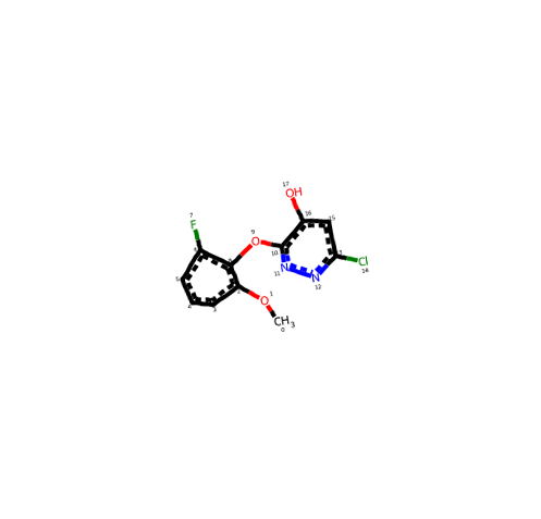 COc1cccc(F)c1Oc1nnc(Cl)cc1O